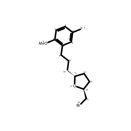 COc1ccc(F)cc1CCC[C@@H]1CC[C@@H](CBr)O1